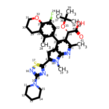 Cc1nc2c(cc(-c3nc(N4CCCCC4)ns3)n2C)c(-c2cc(F)c3c(c2C)CCCO3)c1[C@H](OC(C)(C)C)C(=O)O